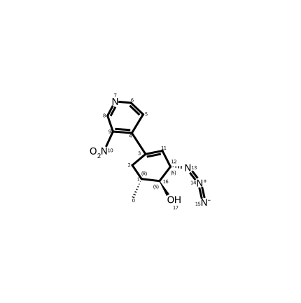 C[C@@H]1CC(c2ccncc2[N+](=O)[O-])=C[C@H](N=[N+]=[N-])[C@H]1O